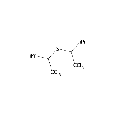 CC(C)C(SC(C(C)C)C(Cl)(Cl)Cl)C(Cl)(Cl)Cl